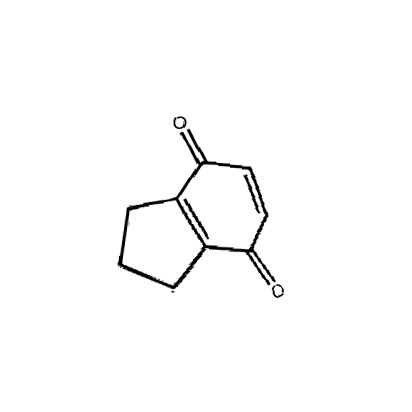 O=C1C=CC(=O)C2=C1[CH]CC2